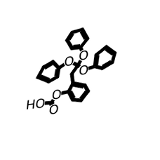 O=C(O)Oc1ccccc1CC(Oc1ccccc1)(Oc1ccccc1)Oc1ccccc1